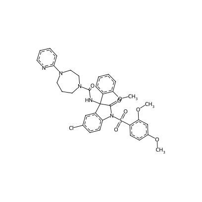 COc1ccc(S(=O)(=O)N2C(=O)C(NC(=O)N3CCCN(c4ccccn4)CC3)(c3ccccc3OC)c3cc(Cl)ccc32)c(OC)c1